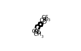 CS(=O)(=O)N1CCc2cc(OS(=O)(=O)C(F)(F)F)ccc2C1